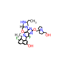 CCc1c(F)ccc2cc(O)cc(-c3nc4c5c(nc(OCC67CCCN6C(CO)CC7)nc5c3F)N3CC(CC)NC[C@H]3CO4)c12